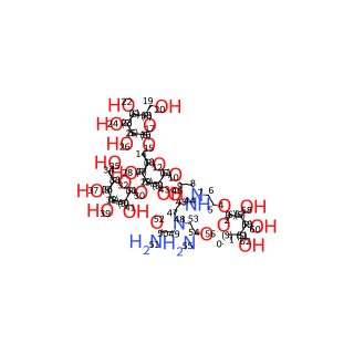 C[C@@H]1O[C@H](OCCN(CCO[C@H]2O[C@H](CO[C@H]3O[C@H](CO)[C@@H](O)[C@H](O)[C@@H]3O)[C@@H](O)[C@H](O[C@H]3O[C@H](CO)[C@@H](O)[C@H](O)[C@@H]3O)[C@@H]2O)NC(=O)CN(CC(N)=O)CC(N)=O)[C@@H](O)[C@H](O)[C@@H]1O